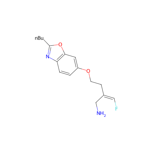 CCCCc1nc2ccc(OCCC(=CF)CN)cc2o1